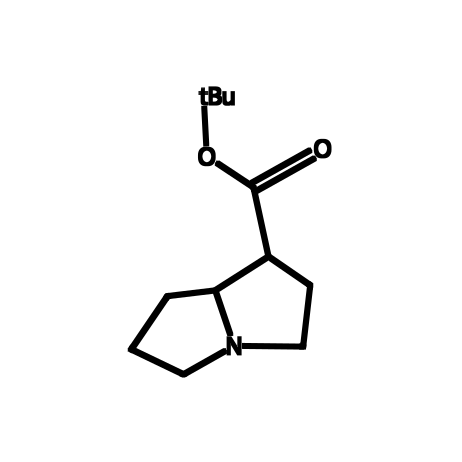 CC(C)(C)OC(=O)C1CCN2CCCC12